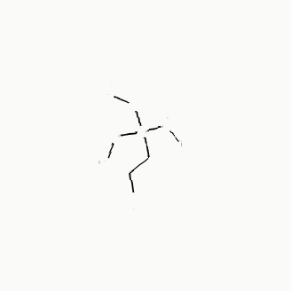 CC(C)O[Si](CCC(F)(F)F)(OC(C)C)OC(C)C